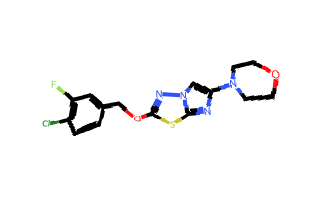 Fc1cc(COc2nn3cc(N4CCOCC4)nc3s2)ccc1Cl